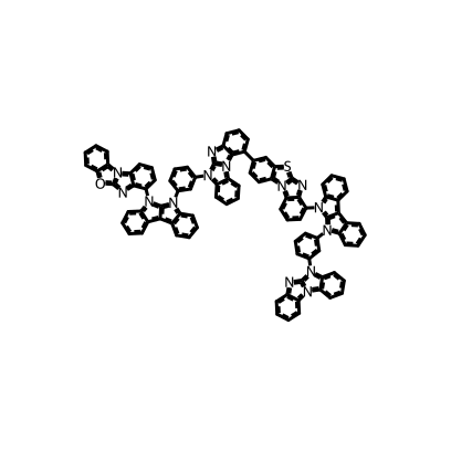 c1cc(-n2c3ccccc3c3c4ccccc4n(-c4cccc5c4nc4sc6cc(-c7cccc8nc9n(-c%10cccc(-n%11c%12ccccc%12c%12c%13ccccc%13n(-c%13cccc%14c%13nc%13oc%15ccccc%15n%13%14)c%12%11)c%10)c%10ccccc%10n9c78)ccc6n45)c32)cc(-n2c3ccccc3n3c4ccccc4nc23)c1